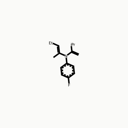 C=C(C(C)C)N(/C(C)=C/CC)c1ccc(F)cc1